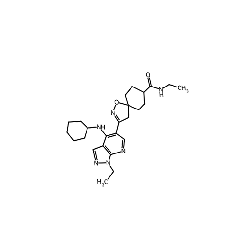 CCNC(=O)C1CCC2(CC1)CC(c1cnc3c(cnn3CC)c1NC1CCCCC1)=NO2